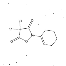 CCC1(CC)C(=O)ON(C2=CCCCC2)C1=O